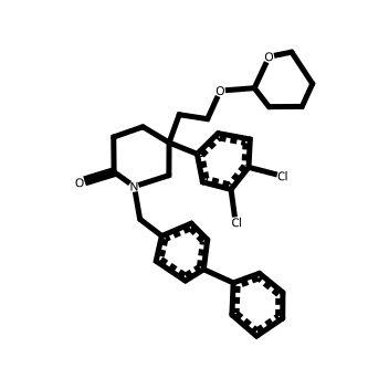 O=C1CCC(CCOC2CCCCO2)(c2ccc(Cl)c(Cl)c2)CN1Cc1ccc(-c2ccccc2)cc1